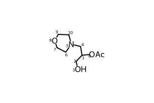 CC(=O)OC(CO)CN1CCOCC1